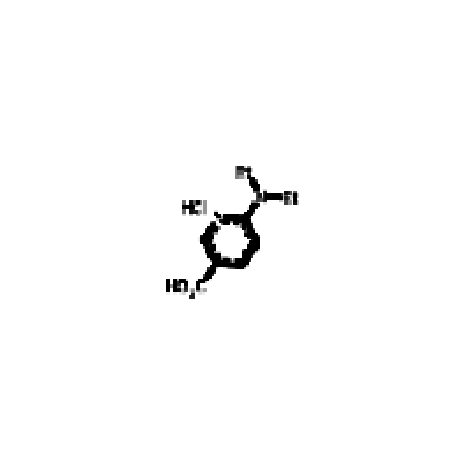 CCN(CC)c1ccc(C(=O)O)cn1.Cl